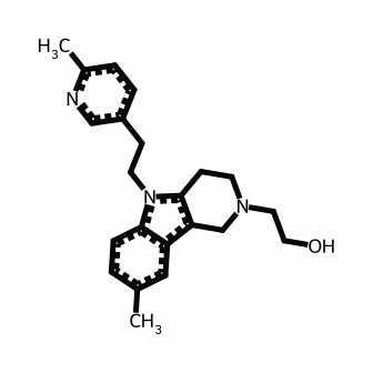 Cc1ccc2c(c1)c1c(n2CCc2ccc(C)nc2)CCN(CCO)C1